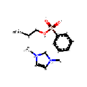 CCCCCCCCCCCCOS(=O)(=O)c1ccccc1.CCCCN1C=CN(C)C1